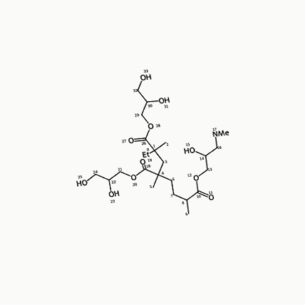 CCC(C)(CC(C)(CCC(C)C(=O)OCC(O)CNC)C(=O)OCC(O)CO)C(=O)OCC(O)CO